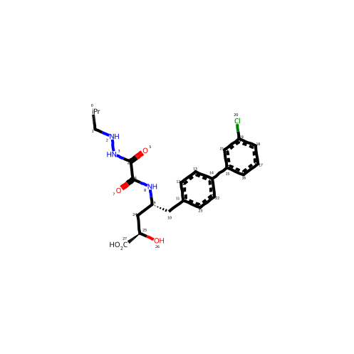 CC(C)CNNC(=O)C(=O)N[C@H](Cc1ccc(-c2cccc(Cl)c2)cc1)C[C@@H](O)C(=O)O